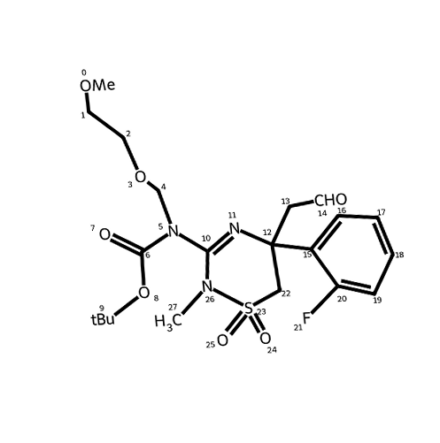 COCCOCN(C(=O)OC(C)(C)C)C1=NC(CC=O)(c2ccccc2F)CS(=O)(=O)N1C